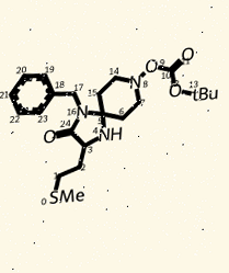 CSCCC1NC2(CCN(OC(=O)OC(C)(C)C)CC2)N(Cc2ccccc2)C1=O